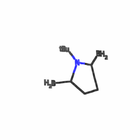 BC1CCC(B)N1C(C)(C)C